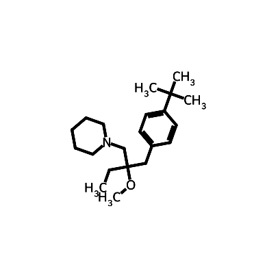 CCC(Cc1ccc(C(C)(C)C)cc1)(CN1CCCCC1)OC